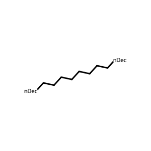 CCCCCCC[CH]CCCCCCCCCCCCCCCCCCCC